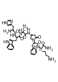 C[C@H](NC(=O)[C@@H](Cc1c[nH]c2ccccc12)NC(=O)[C@@H](N)Cc1c[nH]cn1)C(=O)N[C@@H]1CC(=O)N([C@H](Cc2ccccc2)C(=O)N[C@@H](CCCCN)C(N)=O)C1